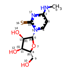 CNc1ccn([C@@H]2O[C@H](CO)[C@@H](O)[C@H]2O)c(=S)n1